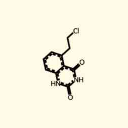 O=c1[nH]c(=O)c2c(CCCl)cccc2[nH]1